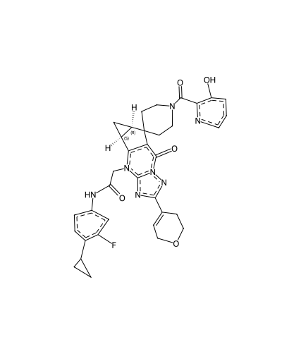 O=C(Cn1c2c(c(=O)n3nc(C4=CCOCC4)nc13)C1(CCN(C(=O)c3ncccc3O)CC1)[C@@H]1C[C@H]21)Nc1ccc(C2CC2)c(F)c1